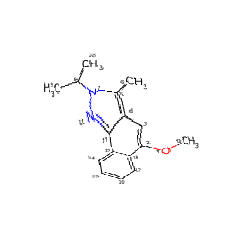 COc1cc2c(C)n(C(C)C)nc2c2ccccc12